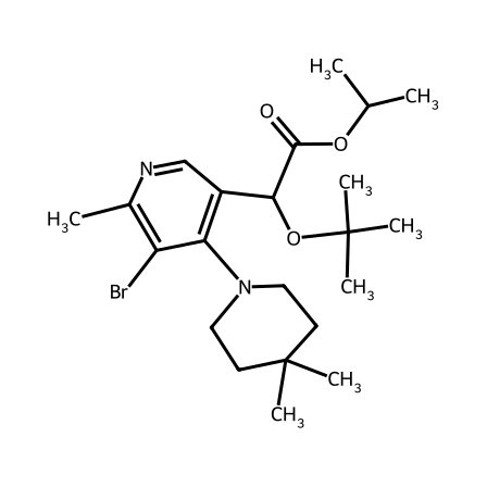 Cc1ncc(C(OC(C)(C)C)C(=O)OC(C)C)c(N2CCC(C)(C)CC2)c1Br